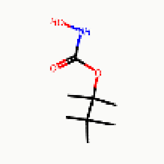 CC(C)(C)C(C)(C)OC(=O)NO